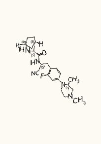 C[C@H]1CN(C)CCN1c1ccc(C[C@@H](C#N)NC(=O)[C@H]2N[C@@H]3CC[C@H]2C3)c(F)c1